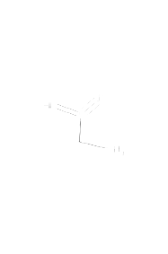 CCS(#P)=P